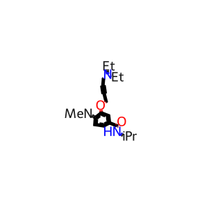 CCN(CC)CC#CCOc1cc(C(=O)NC(C)C)ccc1NC